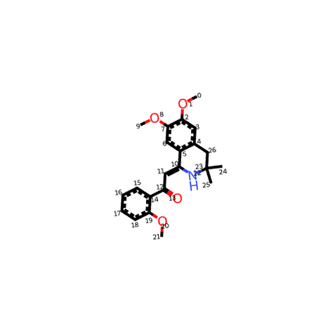 COc1cc2c(cc1OC)C(=CC(=O)c1ccccc1OC)NC(C)(C)C2